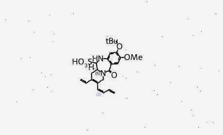 C=C/C=C\C1=C(C=C)C[C@H]2C(S(=O)(=O)O)Nc3cc(OC(C)(C)C)c(OC)cc3C(=O)N2C1